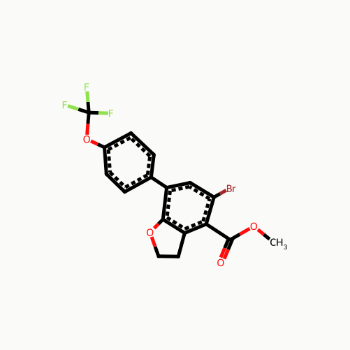 COC(=O)c1c(Br)cc(-c2ccc(OC(F)(F)F)cc2)c2c1CCO2